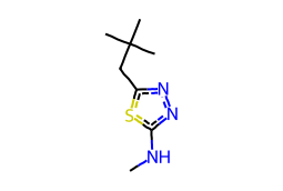 CNc1nnc(CC(C)(C)C)s1